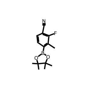 Cc1c(B2OC(C)(C)C(C)(C)O2)ccc(C#N)c1F